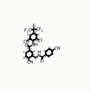 N#Cc1ccc(C(=O)NCc2cc(C(=O)Nc3c(Cl)cc(C(F)(C(F)(F)F)C(F)(F)F)cc3Cl)ccc2C#N)cc1